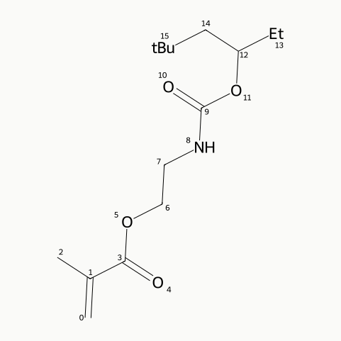 C=C(C)C(=O)OCCNC(=O)OC(CC)CC(C)(C)C